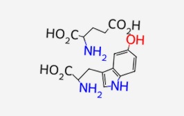 NC(CCC(=O)O)C(=O)O.NC(Cc1c[nH]c2ccc(O)cc12)C(=O)O